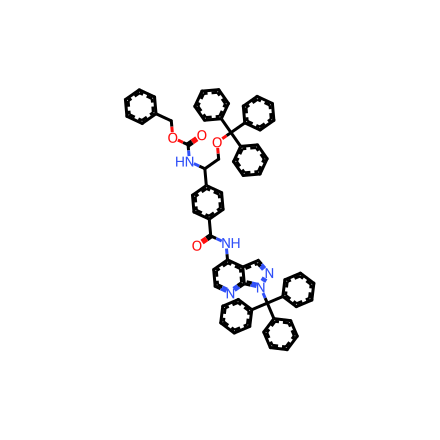 O=C(NC(COC(c1ccccc1)(c1ccccc1)c1ccccc1)c1ccc(C(=O)Nc2ccnc3c2cnn3C(c2ccccc2)(c2ccccc2)c2ccccc2)cc1)OCc1ccccc1